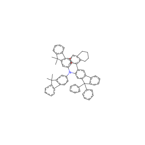 Cc1ccc2c(c1-c1cc3c(cc1N(c1ccc4c(c1)C(C)(C)c1ccccc1-4)c1ccc4c(c1)C(C)(C)c1ccccc1-4)C(c1ccccc1)(c1ccccc1)c1ccccc1-3)CCCC2